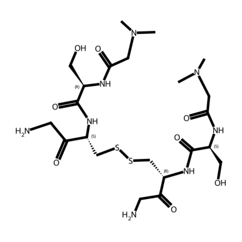 CN(C)CC(=O)N[C@@H](CO)C(=O)N[C@@H](CSSC[C@@H](NC(=O)[C@@H](CO)NC(=O)CN(C)C)C(=O)CN)C(=O)CN